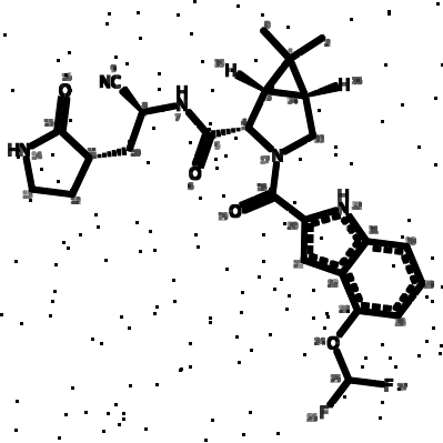 CC1(C)[C@H]2[C@@H](C(=O)N[C@H](C#N)C[C@@H]3CCNC3=O)N(C(=O)c3cc4c(OC(F)F)cccc4[nH]3)C[C@H]21